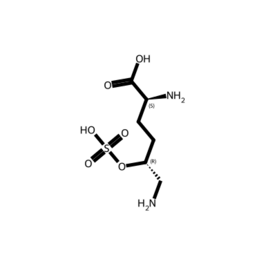 NC[C@@H](CC[C@H](N)C(=O)O)OS(=O)(=O)O